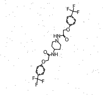 O=C(COc1ccc(C(F)(F)F)cc1)NC1CCN(NC(=O)COc2ccc(C(F)(F)F)cc2)CC1